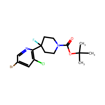 CC(C)(C)OC(=O)N1CCC(F)(c2ncc(Br)cc2Cl)CC1